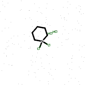 Cl.Cl.Cl[Si]1(Cl)CCCCC1